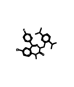 CC(C)c1ccc(C(C)C)c(CC2N=C(c3ccc(F)cc3)c3cc(Cl)ccc3N(C)C2=O)c1